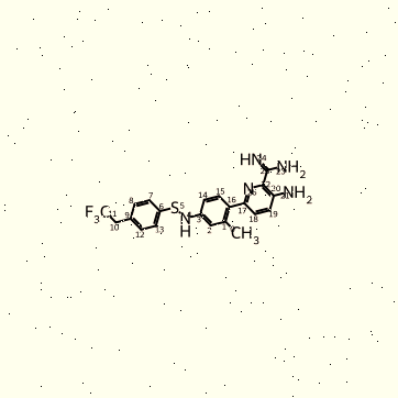 Cc1cc(NSc2ccc(CC(F)(F)F)cc2)ccc1-c1ccc(N)c(C(=N)N)n1